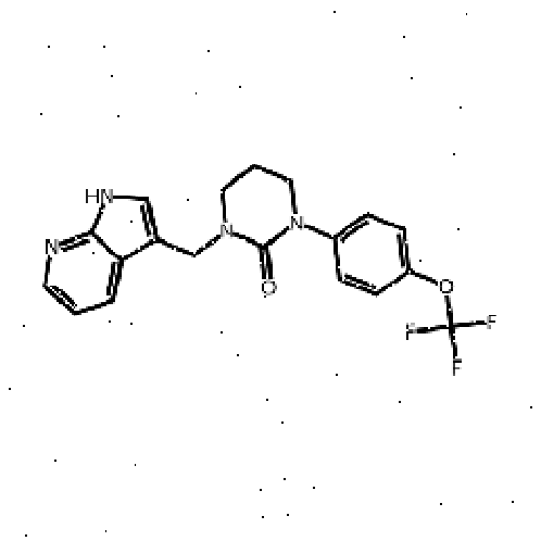 O=C1N(Cc2c[nH]c3ncccc23)CCCN1c1ccc(OC(F)(F)F)cc1